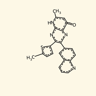 Cc1cc(=O)c2nc(-c3ccc4ncccc4c3)c(-c3ccc(C)s3)nc2[nH]1